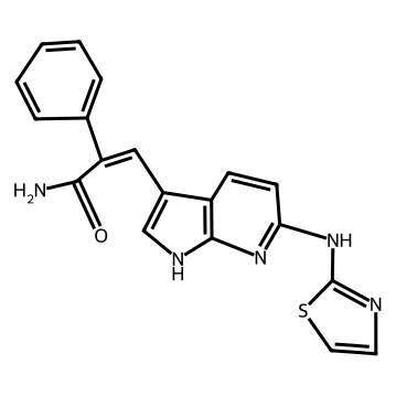 NC(=O)C(=Cc1c[nH]c2nc(Nc3nccs3)ccc12)c1ccccc1